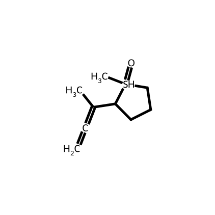 C=C=C(C)C1CCC[SH]1(C)=O